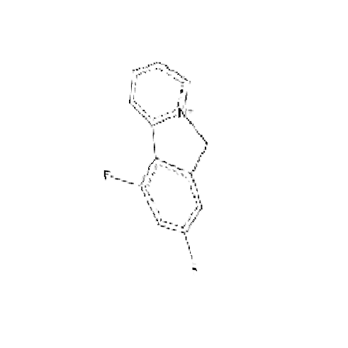 Fc1cc(F)c2c(c1)C[n+]1ccccc1-2